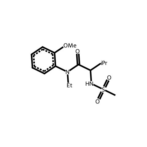 CCN(C(=O)C(NS(C)(=O)=O)C(C)C)c1ccccc1OC